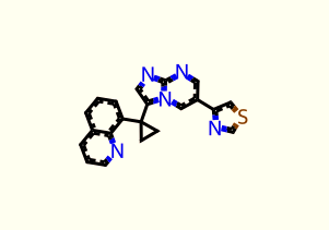 c1cnc2c(C3(c4cnc5ncc(-c6cscn6)cn45)CC3)cccc2c1